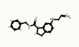 C=CCNc1ccc2c(c1)C(C(=O)OCc1ccccc1)CC2